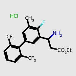 CCOC(=O)CC(N)c1cc(-c2c(C(F)(F)F)cccc2C(F)(F)F)cc(C)c1F.Cl